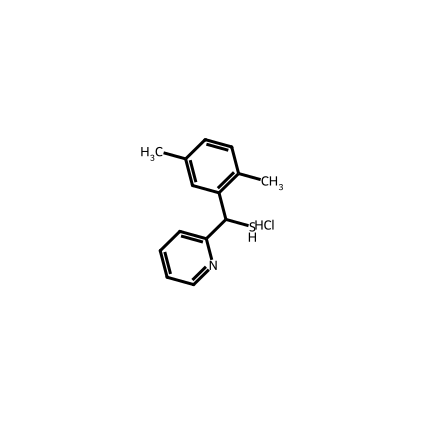 Cc1ccc(C)c(C(S)c2ccccn2)c1.Cl